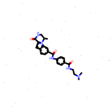 CC1CNC(=O)c2cc3ccc(C(=O)Nc4ccc(C(=O)NCCN(C)C)cc4)cc3n21